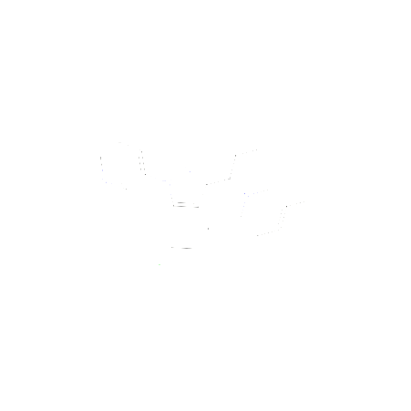 CC1=CC=CN(C(c2nn(-c3cccnc3)c3cc(Cl)ccc23)C(C)C)C1